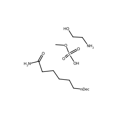 CCCCCCCCCCCCCCCC(N)=O.COS(=O)(=O)O.NCCO